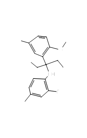 CCC(CC)(Pc1ccc(C)cc1F)c1cc(C)ccc1OC